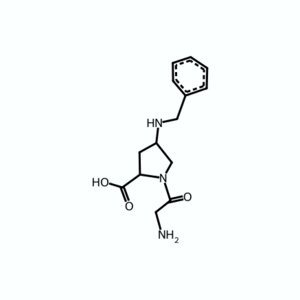 NCC(=O)N1CC(NCc2ccccc2)CC1C(=O)O